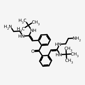 CC(C)(C)NC(=Cc1ccccc1C(=O)c1ccccc1C=C(NCCN)NC(C)(C)C)NCCN